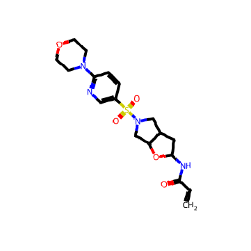 C=CC(=O)NC1CC2CN(S(=O)(=O)c3ccc(N4CCOCC4)nc3)CC2O1